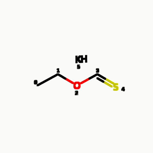 CCOC=S.[KH]